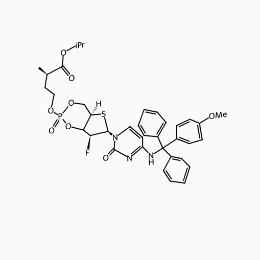 COc1ccc(C(Nc2ccn([C@@H]3S[C@@H]4COP(=O)(OCC[C@@H](C)C(=O)OC(C)C)OC4[C@@H]3F)c(=O)n2)(c2ccccc2)c2ccccc2)cc1